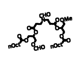 CCCCCCCCC(=O)OCC(COC)OC(=O)CCN(C=O)CCC(=O)OC(COC=O)COC(=O)CCCCCCCC